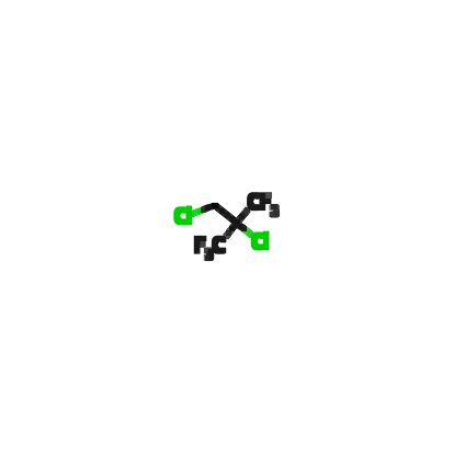 FC(F)(F)C(Cl)(CCl)C(F)(F)F